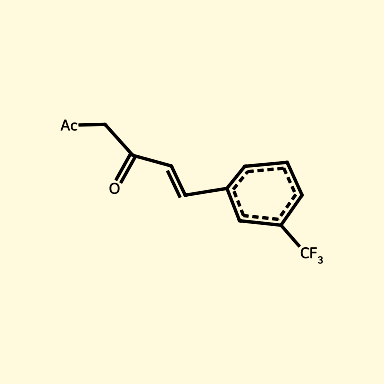 CC(=O)CC(=O)C=Cc1cccc(C(F)(F)F)c1